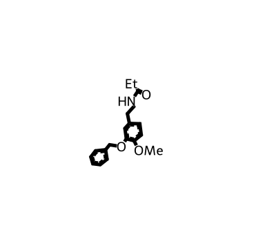 CCC(=O)NCCc1ccc(OC)c(OCc2ccccc2)c1